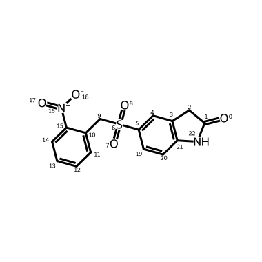 O=C1Cc2cc(S(=O)(=O)Cc3ccccc3[N+](=O)[O-])ccc2N1